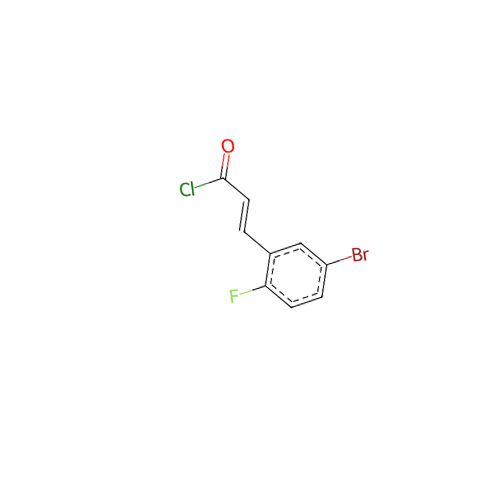 O=C(Cl)C=Cc1cc(Br)ccc1F